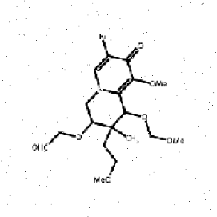 COCCC1(C)C(OCC=O)Cn2cc(Br)c(=O)c(OC)c2C1OCOC